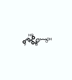 C[C@@H]1CN([C@@H](c2cccc(O)c2)c2cccc(C(=O)N3CCCN(CCCCCC(=O)O)CC3)c2)[C@@H](C)CN1Cc1cccc(F)c1